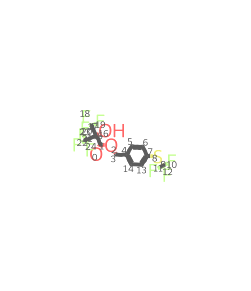 O=C(OCc1ccc(SC(F)(F)F)cc1)C(O)(C(F)(F)F)C(F)(F)F